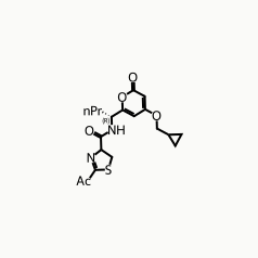 CCC[C@@H](NC(=O)C1CSC(C(C)=O)=N1)c1cc(OCC2CC2)cc(=O)o1